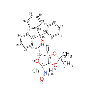 CC1(C)O[C@H]2[C@@H](O1)[C@@](Cl)(N=O)O[C@@H]2COC(c1ccccc1)(c1ccccc1)c1ccccc1